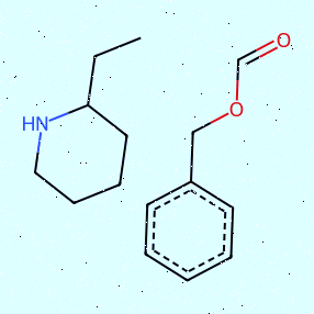 CCC1CCCCN1.O=COCc1ccccc1